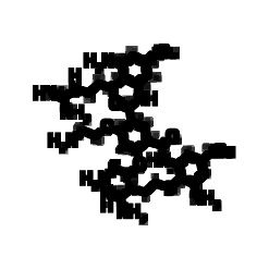 CC(C)(C)c1cc(N)c(SCCNC(=N)N)c(NC(=O)c2cc(C(=O)Nc3cc(C(C)(C)C)cc(N)c3SCCNC(=N)N)c(OCCN)cc2OCCN)c1